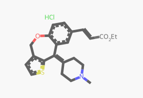 CCOC(=O)C=Cc1ccc2c(c1)C(=C1CCN(C)CC1)c1sccc1CO2.Cl